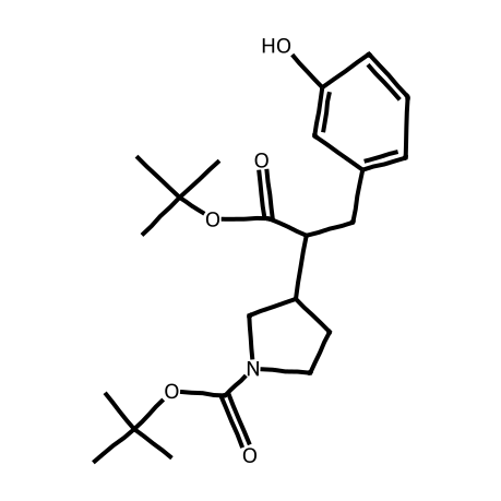 CC(C)(C)OC(=O)C(Cc1cccc(O)c1)C1CCN(C(=O)OC(C)(C)C)C1